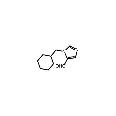 O=Cc1cncn1CC1CCCCC1